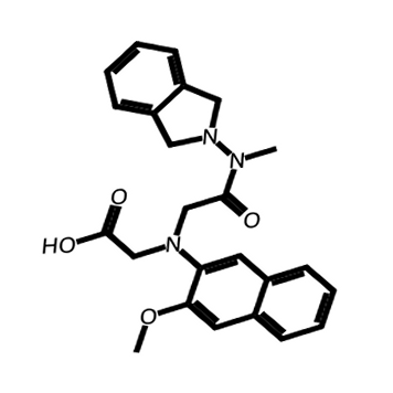 COc1cc2ccccc2cc1N(CC(=O)O)CC(=O)N(C)N1Cc2ccccc2C1